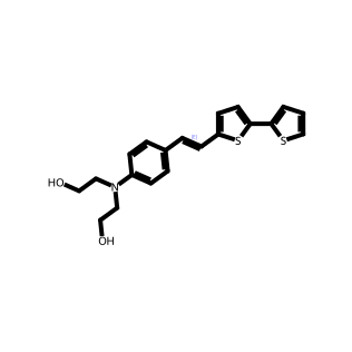 OCCN(CCO)c1ccc(/C=C/c2ccc(-c3cccs3)s2)cc1